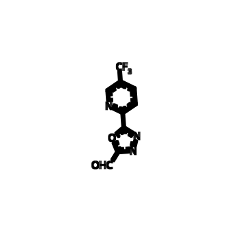 O=Cc1nnc(-c2ccc(C(F)(F)F)cn2)o1